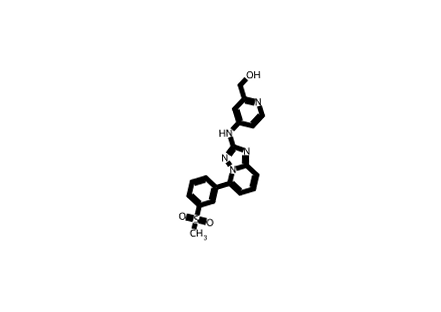 CS(=O)(=O)c1cccc(-c2cccc3nc(Nc4ccnc(CO)c4)nn23)c1